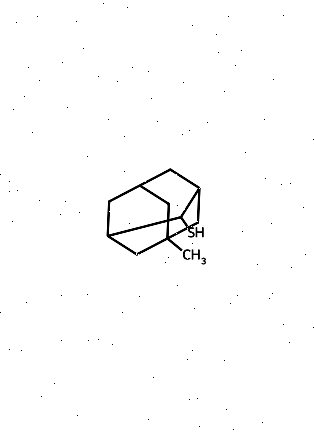 CC12CC3CC(C1)C(S)C(C3)C2